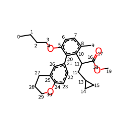 CCCCOc1ccc(C)c(C(CC2CC2)C(=O)OC)c1-c1ccc2c(c1)CCCO2